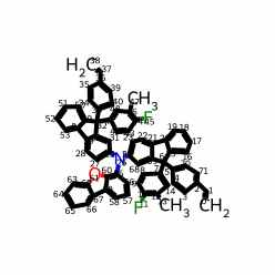 C=Cc1ccc(C2(c3ccc(F)c(C)c3)c3ccccc3-c3ccc(N(c4ccc5c(c4)C(c4ccc(C=C)cc4)(c4ccc(F)c(C)c4)c4ccccc4-5)c4cccc5c4oc4ccccc45)cc32)cc1